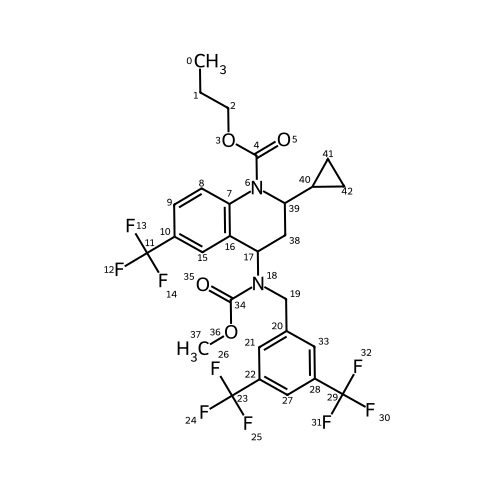 CCCOC(=O)N1c2ccc(C(F)(F)F)cc2C(N(Cc2cc(C(F)(F)F)cc(C(F)(F)F)c2)C(=O)OC)CC1C1CC1